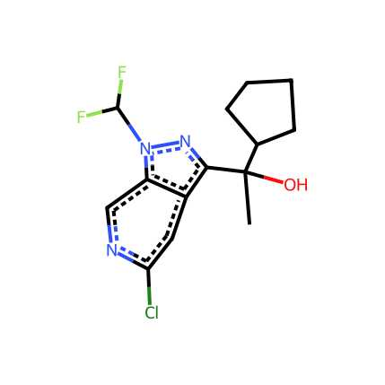 CC(O)(c1nn(C(F)F)c2cnc(Cl)cc12)C1CCCC1